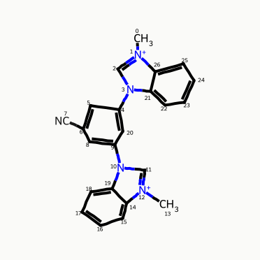 C[n+]1cn(-c2cc(C#N)cc(-n3c[n+](C)c4ccccc43)c2)c2ccccc21